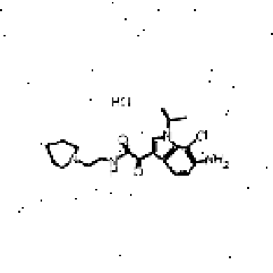 CC(C)n1cc(C(=O)C(=O)NCCN2CCCCC2)c2ccc(N)c(Cl)c21.Cl